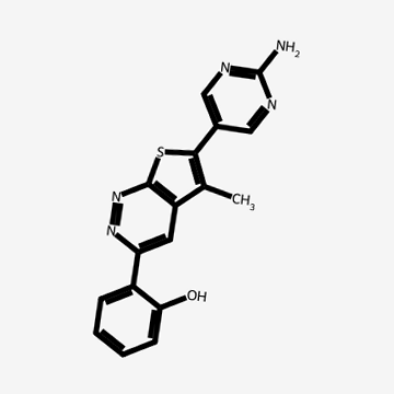 Cc1c(-c2cnc(N)nc2)sc2nnc(-c3ccccc3O)cc12